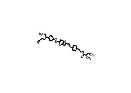 CCC(C)C(=O)OCCc1ccc(N=Nc2cc3sc(N=Nc4ccc(N(CC)CCC#N)cc4)nc3s2)cc1